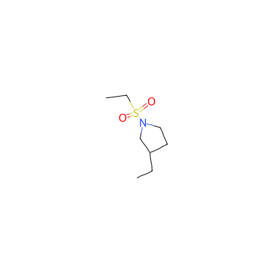 CCC1CCN(S(=O)(=O)CC)C1